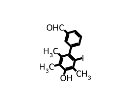 Cc1c(C)c(-c2cccc(C=O)c2)c(I)c(C)c1O